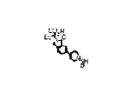 CCC(C(=O)O)N1Cc2ccc(C3=CCN([SH]=O)CC3)cc2C1=O